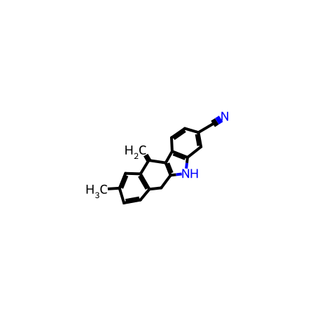 C=C1c2cc(C)ccc2Cc2[nH]c3cc(C#N)ccc3c21